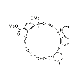 COC(=O)c1cc(OC)c2cc1OCCOCCOCCC1CN(C)CCC1Nc1cccc3c1cc(n3CC(F)(F)F)C#CCN2